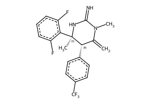 C=C1[C@H](c2ccc(C(F)(F)F)cc2)[C@@](C)(c2c(F)cccc2F)NC(=N)N1C